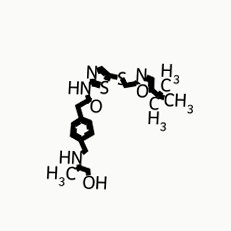 CC(CO)NCc1ccc(CC(=O)Nc2ncc(SCc3ncc(C(C)(C)C)o3)s2)cc1